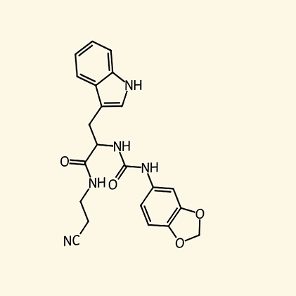 N#CCCNC(=O)C(Cc1c[nH]c2ccccc12)NC(=O)Nc1ccc2c(c1)OCO2